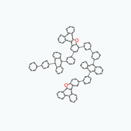 c1ccc(-c2ccc(-c3c4ccccc4c(-c4cccc(-c5cc(-c6cccc(-c7cccc(-c8c9ccccc9c(-c9cccc(-c%10ccc%11oc%12c%13ccccc%13c%13ccccc%13c%12c%11c%10)c9)c9ccccc89)c7)c6)c6oc7c8ccccc8c8ccccc8c7c6c5)c4)c4ccccc34)cc2)cc1